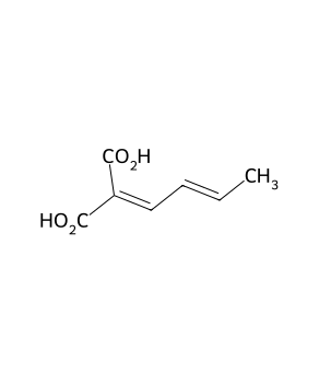 C/C=C/C=C(C(=O)O)C(=O)O